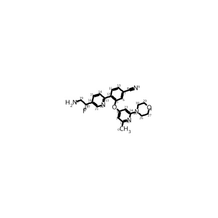 Cc1cc(Oc2cc(C#N)ccc2-c2ccc([C@H](F)CN)cn2)cc(N2CCOCC2)n1